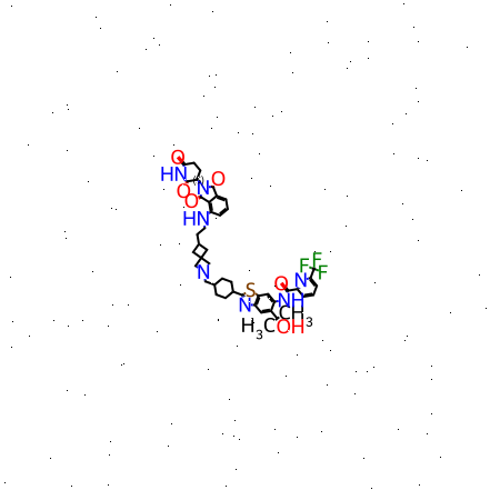 CC(C)(O)c1cc2nc(C3CCC(CN4CC5(CC(CCNc6cccc7c6C(=O)N([C@H]6CCC(=O)NC6=O)C7=O)C5)C4)CC3)sc2cc1NC(=O)c1cccc(C(F)(F)F)n1